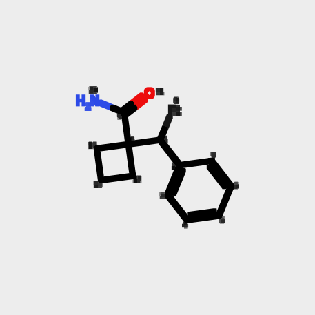 CCC(c1ccccc1)C1(C(N)=O)CCC1